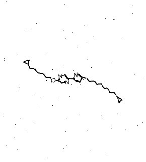 c1cc(-c2cnc(OCCCCCCC3CC3)cn2)ncc1CCCCCCCCCC1CC1